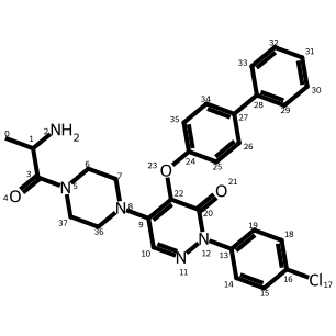 CC(N)C(=O)N1CCN(c2cnn(-c3ccc(Cl)cc3)c(=O)c2Oc2ccc(-c3ccccc3)cc2)CC1